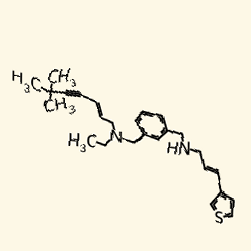 CCN(C/C=C/C#CC(C)(C)C)Cc1cccc(CNC/C=C/c2ccsc2)c1